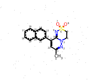 CC1=NN2CCS(=O)(=O)N=C2C(c2ccc3ccccc3c2)=C1